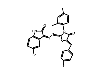 Cc1ccc(N2C(=O)C(=Cc3ccc(F)cc3)SC2=NN=C2C(=O)Nc3ccc(Br)cc32)c(C)c1